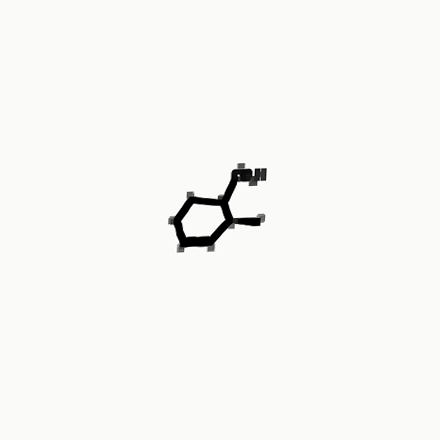 C[C@H]1C=CCCC1C(=O)O